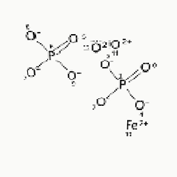 O=P([O-])([O-])[O-].O=P([O-])([O-])[O-].[Fe+2].[O+2].[O+2]